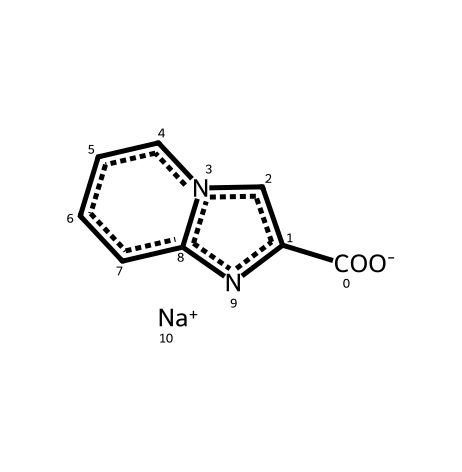 O=C([O-])c1cn2ccccc2n1.[Na+]